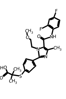 COCCn1c(-c2ccc(SC(C)(C)C(=O)O)cc2)nc(C)c1C(=O)Nc1ccc(F)cc1F